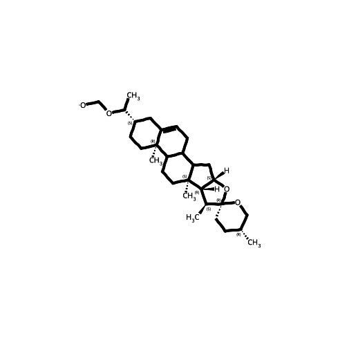 CC(OC[O])[C@H]1CC[C@@]2(C)C(=CCC3C2CC[C@@]2(C)C3C[C@@H]3O[C@]4(CC[C@@H](C)CO4)[C@@H](C)[C@@H]32)C1